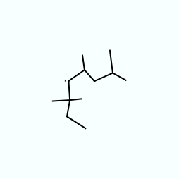 CCC(C)(C)[CH]C(C)CC(C)C